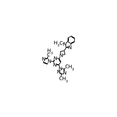 Cc1nc(C)n(-c2cc(N3CC(c4nc5ccccc5n4C)C3)nc(-n3ccnc3C)n2)n1